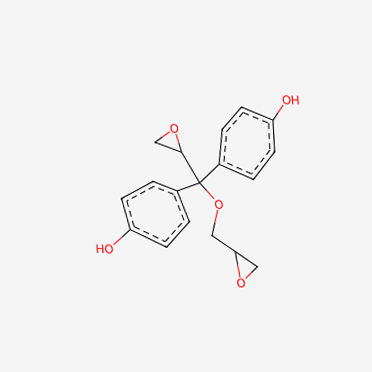 Oc1ccc(C(OCC2CO2)(c2ccc(O)cc2)C2CO2)cc1